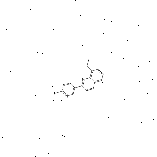 CCc1cccc2ccc(-c3ccc(F)nc3)nc12